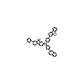 CC1(C)c2cc(-c3ccccc3)ccc2-c2ccc(N(c3ccc(-c4ccc5ccccc5c4)cc3)c3ccc(-c4ccc5c(c4)oc4ccccc45)cc3)cc21